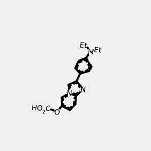 CCN(CC)c1ccc(-c2cn3cc(OC(=O)O)ccc3n2)cc1